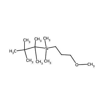 COCCC[Si](C)(C)C(C)(C)C(C)(C)C